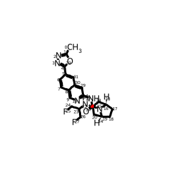 Cc1nnc(-c2ccc3cnc(NC(=O)N4[C@@H]5CC[C@H]4C[C@H](NC(CF)CF)C5)cc3c2)o1